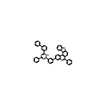 c1ccc(C2=NC(c3cccc(-c4ccc5c(c4)nc(-c4ccccc4)c4ccc6sc7ccccc7c6c45)c3)NC(c3cccc(-c4ccccc4)c3)=N2)cc1